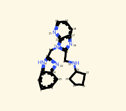 c1ccc2[nH]c(Cn3c(CNC4CCCC4)nc4cccnc43)nc2c1